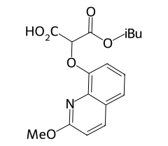 CCC(C)OC(=O)C(Oc1cccc2ccc(OC)nc12)C(=O)O